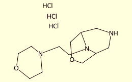 C1CN(CCN2C3CNCC2COC3)CCO1.Cl.Cl.Cl